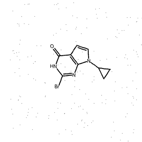 O=c1[nH]c(Br)nc2c1ccn2C1CC1